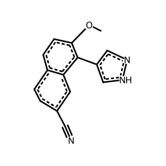 COc1ccc2ccc(C#N)cc2c1-c1cn[nH]c1